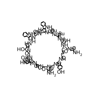 CCCC[C@H]1C(=O)N(C)[C@@H](CCCC)C(=O)N[C@@H](CO)C(=O)N[C@H](CC(=O)NCC(N)=O)CSCC(=O)N[C@@H](Cc2ccc(O)cc2)C(=O)N(C)[C@@H](C)C(=O)N[C@@H](CC(N)=O)C(=O)N2CCC[C@H]2C(=O)N[C@@H](Cc2c[nH]cn2)C(=O)N[C@@H](CCC(N)=O)C(=O)N2C[C@H](O)C[C@H]2C(=O)N[C@@H](Cc2c[nH]c3ccccc23)C(=O)N[C@@H](CO)C(=O)N[C@@H](Cc2c[nH]c3ccccc23)C(=O)N1C